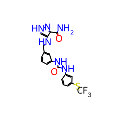 NC(=O)c1n[nH]cc1NCc1cccc(NC(=O)Nc2cccc(SC(F)(F)F)c2)c1